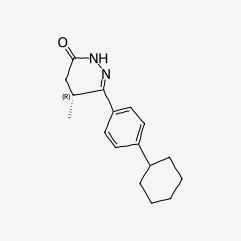 C[C@@H]1CC(=O)NN=C1c1ccc(C2CCCCC2)cc1